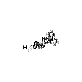 CCOC(=O)C1(NC(=O)c2cnc(NC(=O)N(C3CCCCC3)C3CCCCC3)s2)CC1